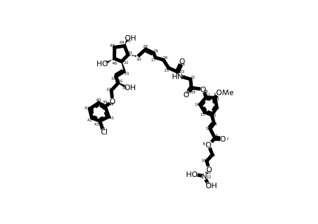 COc1cc(/C=C/C(=O)OCCON(O)O)ccc1OC(=O)CNC(=O)CCC/C=C\C[C@@H]1[C@@H](/C=C/[C@@H](O)COc2cccc(Cl)c2)[C@H](O)C[C@@H]1O